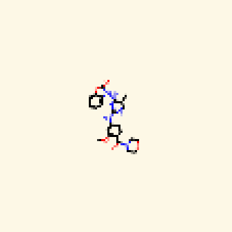 COc1cc(Nc2ncc(C)c(Nn3c(=O)oc4ccccc43)n2)ccc1C(=O)N1CCOCC1